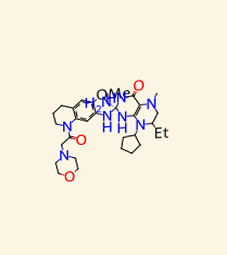 CCC1CN(C)C2=C(N[C@@](N)(Nc3cc4c(cc3OC)CCCN4C(=O)CN3CCOCC3)NC2=O)N1C1CCCC1